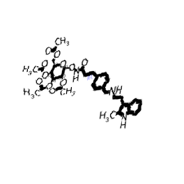 CC(=O)OC[C@H]1O[C@@H](ONC(=O)/C=C/c2ccc(CNCCc3c(C)[nH]c4ccccc34)cc2)[C@H](OC(C)=O)[C@@H](OC(C)=O)[C@H]1OC(C)=O